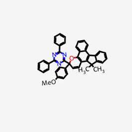 COc1ccc(C2(c3nc(-c4ccccc4)nc(-c4ccccc4)n3)C=Cc3c4c(c5ccccc5c3O2)-c2ccccc2C4(C)C)cc1